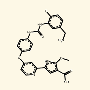 COc1[nH]c(-c2cc(Oc3ccc(NC(=O)Nc4cc(CN)ccc4F)cc3)ccn2)cc1C(=O)O